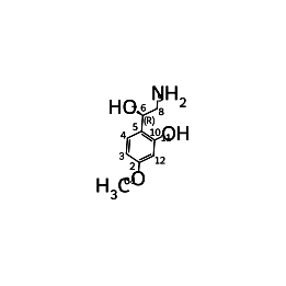 COc1ccc([C@@H](O)CN)c(O)c1